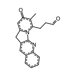 Cc1c(CCC=O)n2c(cc1=O)Cc1cc3ccccc3nc1-2